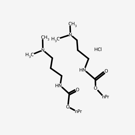 CCCOC(=O)NCCCN(C)C.CCCOC(=O)NCCCN(C)C.Cl